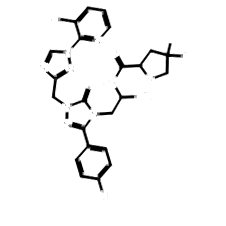 O=C(NC(Cn1c(-c2ccc(Cl)cc2)nn(Cc2ncn(-c3ncccc3Cl)n2)c1=O)C(F)(F)F)C1CC(F)(F)CN1